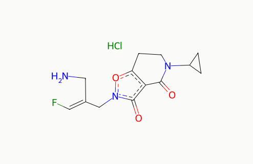 Cl.NC/C(=C\F)Cn1oc2c(c1=O)C(=O)N(C1CC1)CC2